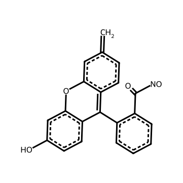 C=c1ccc2c(c1)Oc1cc(O)ccc1C=2c1ccccc1C(=O)N=O